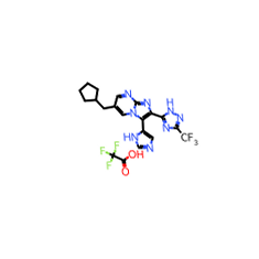 FC(F)(F)c1n[nH]c(-c2nc3ncc(CC4CCCC4)cn3c2-c2cnc[nH]2)n1.O=C(O)C(F)(F)F